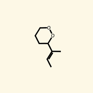 C/C=C(\C)C1CCCOO1